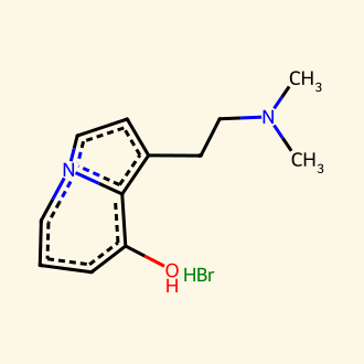 Br.CN(C)CCc1ccn2cccc(O)c12